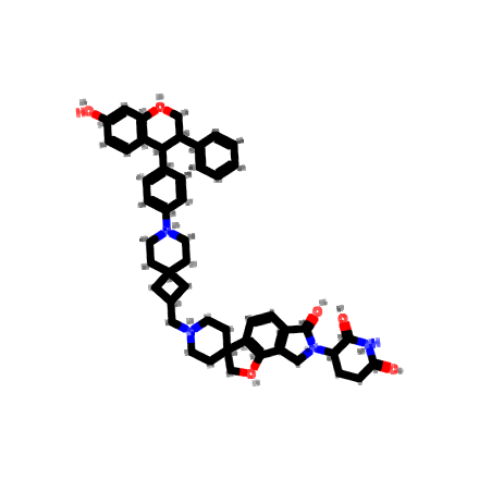 O=C1CCC(N2Cc3c(ccc4c3OCC43CCN(CC4CC5(CCN(c6ccc(C7c8ccc(O)cc8OCC7c7ccccc7)cc6)CC5)C4)CC3)C2=O)C(=O)N1